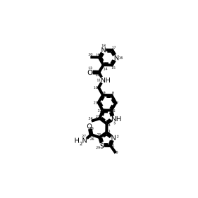 Cc1nc(-c2[nH]c3ccc(CNC(=O)c4cncnc4C)cc3c2C)c(C(N)=O)s1